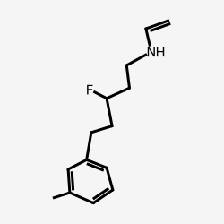 C=CNCCC(F)CCc1cccc(C)c1